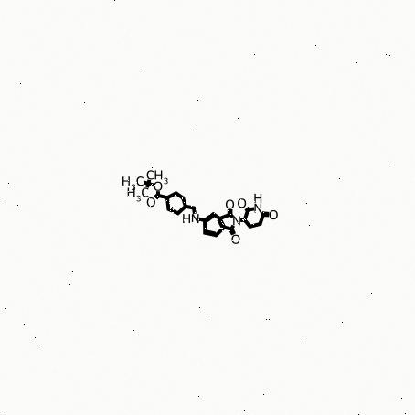 CC(C)(C)OC(=O)C1CCC(CNc2ccc3c(c2)C(=O)N(C2CCC(=O)NC2=O)C3=O)CC1